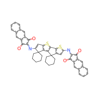 O=c1c(=NC2=Cc3sc4c(c3C23CCCCC3)C2(CCCCC2)c2cc(N=c3c(=O)c5cc6ccccc6cc5c3=O)sc2-4)c(=O)c2cc3ccccc3cc12